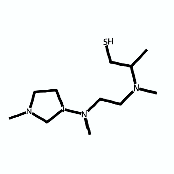 CC(CS)N(C)CCN(C)I1CCN(C)C1